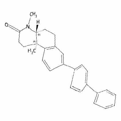 CN1C(=O)CC[C@]2(C)c3ccc(-c4ccc(-c5ccccc5)cc4)cc3CC[C@@H]12